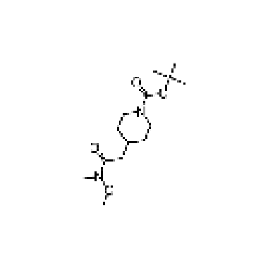 CON(C)C(=O)CC1CCN(C(=O)OC(C)(C)C)CC1